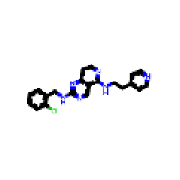 Clc1ccccc1CNc1ncc2c(NCCc3ccncc3)nccc2n1